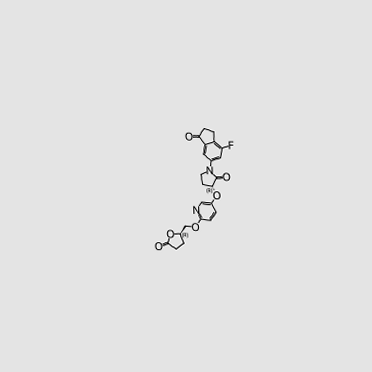 O=C1CC[C@H](COc2ccc(O[C@@H]3CCN(c4cc(F)c5c(c4)C(=O)CC5)C3=O)cn2)O1